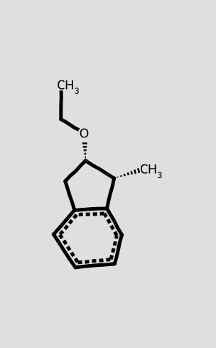 CCO[C@H]1Cc2ccccc2[C@H]1C